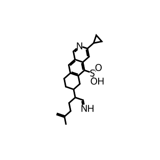 C=C(C)CCC(C=N)C1CCc2cc3cnc(C4CC4)cc3c(S(=O)O)c2C1